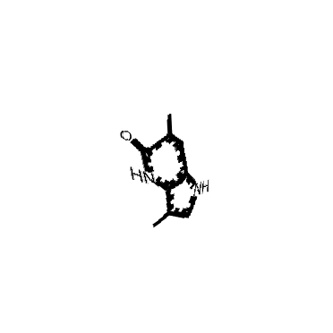 Cc1cc2[nH]cc(C)c2[nH]c1=O